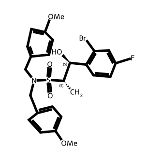 COc1ccc(CN(Cc2ccc(OC)cc2)S(=O)(=O)[C@@H](C)[C@@H](O)c2ccc(F)cc2Br)cc1